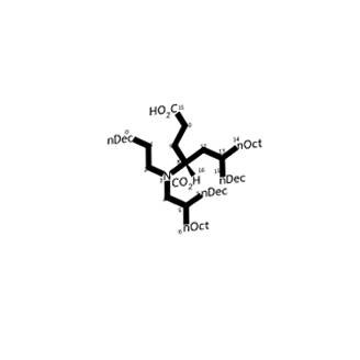 CCCCCCCCCCCCN(CC(CCCCCCCC)CCCCCCCCCC)[C@](CCC(=O)O)(CC(CCCCCCCC)CCCCCCCCCC)C(=O)O